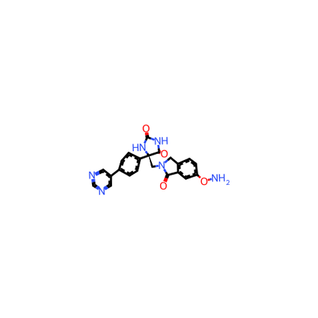 NOc1ccc2c(c1)C(=O)N(C[C@@]1(c3ccc(-c4cncnc4)cc3)NC(=O)NC1=O)C2